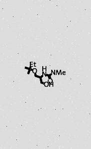 CCC(C)(C)OCC(CO)NC(=O)NC